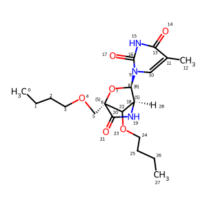 CCCCOC[C@@]12O[C@@H](n3cc(C)c(=O)[nH]c3=O)[C@@H](NC1=O)C2OCCCC